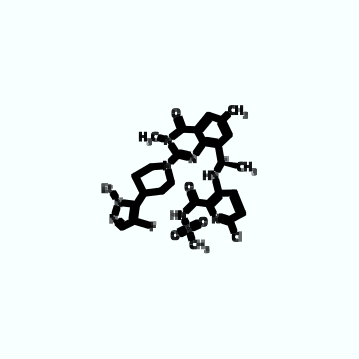 CCn1ncc(F)c1C1CCN(c2nc3c([C@@H](C)Nc4ccc(Cl)nc4C(=O)NS(C)(=O)=O)cc(C)cc3c(=O)n2C)CC1